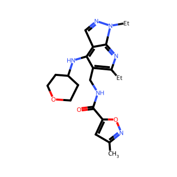 CCc1nc2c(cnn2CC)c(NC2CCOCC2)c1CNC(=O)c1cc(C)no1